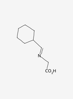 O=C(O)C/N=C/C1CCCCC1